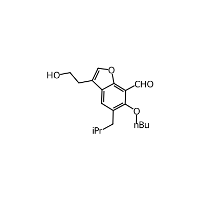 CCCCOc1c(CC(C)C)cc2c(CCO)coc2c1C=O